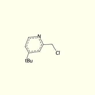 CC(C)(C)c1ccnc(CCl)c1